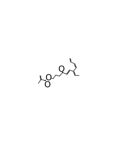 C=C\C=C/C(/C=C/C(=O)CCCOC(=O)C(=C)C)=C\C